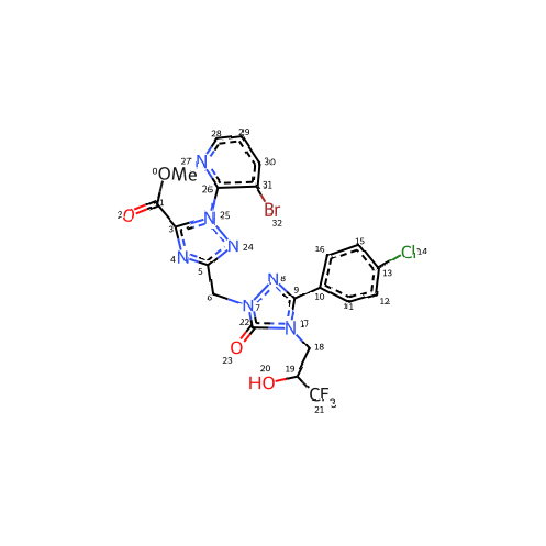 COC(=O)c1nc(Cn2nc(-c3ccc(Cl)cc3)n(CC(O)C(F)(F)F)c2=O)nn1-c1ncccc1Br